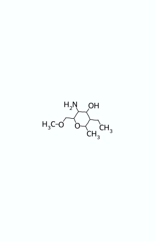 CCC1C(C)OC(COC)C(N)C1O